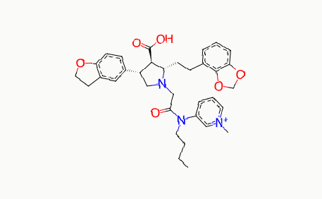 CCCCN(C(=O)CN1C[C@H](c2ccc3c(c2)CCO3)[C@@H](C(=O)O)[C@@H]1CCc1cccc2c1OCO2)c1ccc[n+](C)c1